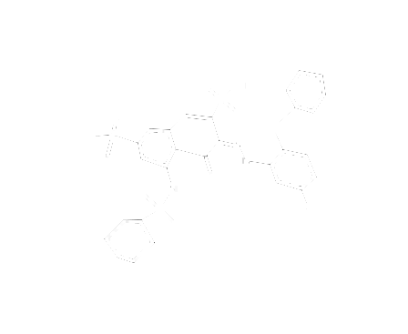 O=C1C(=NNc2cc(Cl)ccc2Oc2ccccc2)C(S(=O)(=O)O)=Cc2cc(S(=O)(=O)O)cc(NS(=O)(=O)c3ccccc3)c21